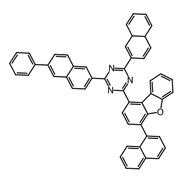 C1=CC2C=CC(c3nc(-c4ccc5cc(-c6ccccc6)ccc5c4)nc(-c4ccc(-c5cccc6ccccc56)c5oc6ccccc6c45)n3)=CC2C=C1